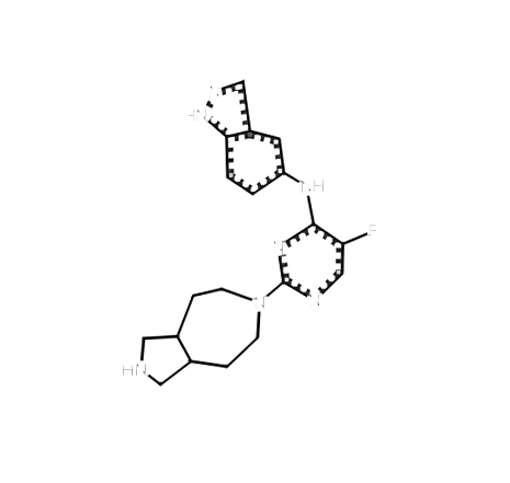 Fc1cnc(N2CCC3CNCC3CC2)nc1Nc1ccc2[nH]ncc2c1